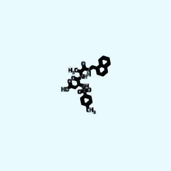 Cc1ccc(S(=O)(=O)N[C@@H](CC(=O)O)C(=O)NC(C)C(=O)NCc2cccc3ccccc23)cc1